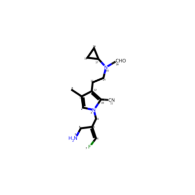 Cc1cn(C/C(=C/F)CN)c(C#N)c1CCN(C=O)C1CC1